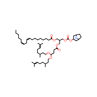 CCCCC/C=C\C/C=C\CCCCCCCC(=O)OCC(COC(=O)CCC(OCCC(C)CCC=C(C)C)OCCC(C)CCC=C(C)C)COC(=O)OC1CC2CCC(C1)N2C